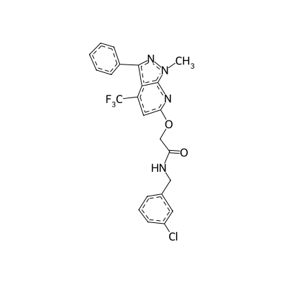 Cn1nc(-c2ccccc2)c2c(C(F)(F)F)cc(OCC(=O)NCc3cccc(Cl)c3)nc21